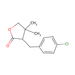 CC1(C)COC(=O)C1Cc1ccc(Cl)cc1